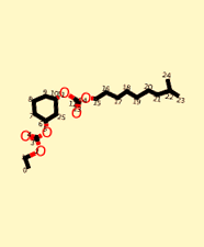 CCOC(=O)OC1CCCC(OC(=O)OCCCCCCCC(C)C)C1